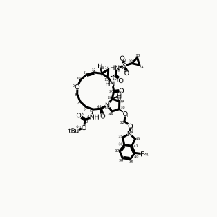 CC(C)(C)OC(=O)N[C@H]1CCCOC/C=C\[C@@H]2C[C@@]2(C(=O)NS(=O)(=O)C2CC2)NC(=O)[C@@H]2C[C@@H](OCON3Cc4cccc(F)c4C3)CN2C1=O